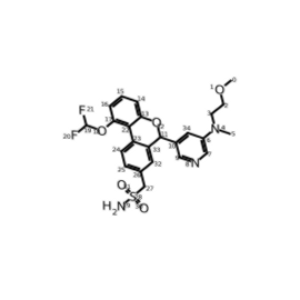 COCCN(C)c1cncc(C2Oc3cccc(OC(F)F)c3-c3ccc(CS(N)(=O)=O)cc32)c1